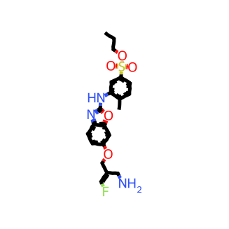 CCCOS(=O)(=O)c1ccc(C)c(Nc2nc3ccc(OC/C(=C/F)CN)cc3o2)c1